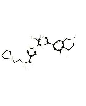 Cc1cc(-c2cnc(N)c(-n3cc(C(=O)N(C)CCN4CCCC4)cn3)n2)cc2c1CCN(C)C2